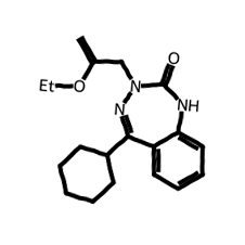 C=C(CN1N=C(C2CCCCC2)c2ccccc2NC1=O)OCC